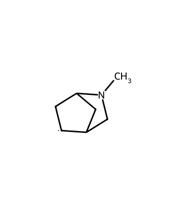 CN1CC2[CH]CC1C2